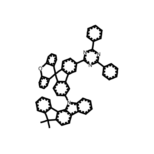 CC1(C)c2ccccc2-c2c1ccc1c3ccccc3n(-c3ccc4c(c3)-c3cc(-c5nc(-c6ccccc6)nc(-c6ccccc6)n5)ccc3C43c4ccccc4Oc4ccccc43)c21